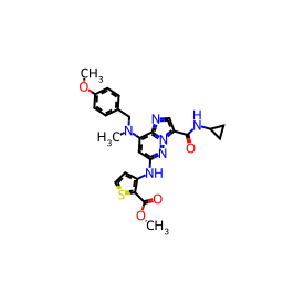 COC(=O)c1sccc1Nc1cc(N(C)Cc2ccc(OC)cc2)c2ncc(C(=O)NC3CC3)n2n1